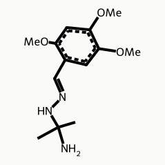 COc1cc(OC)c(OC)cc1/C=N/NC(C)(C)N